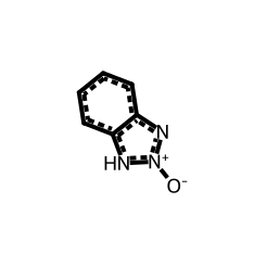 [O-][n+]1nc2ccccc2[nH]1